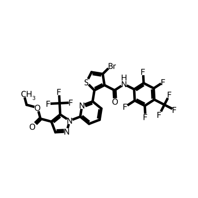 CCOC(=O)c1cnn(-c2cccc(-c3scc(Br)c3C(=O)Nc3c(F)c(F)c(C(F)(F)F)c(F)c3F)n2)c1C(F)(F)F